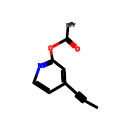 CC#Cc1ccnc(OC(=O)CCC)c1